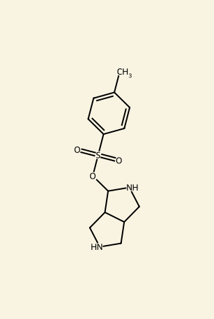 Cc1ccc(S(=O)(=O)OC2NCC3CNCC32)cc1